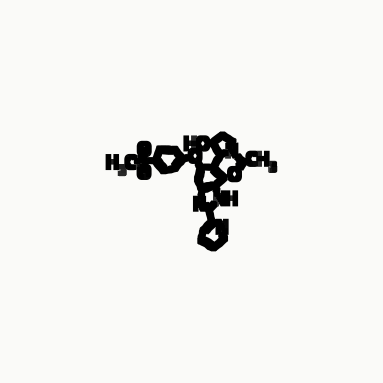 CC(=O)N1CCC(O)C1c1cc2[nH]c(-c3ccccn3)nc2cc1Oc1ccc(S(C)(=O)=O)cc1